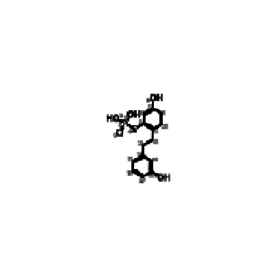 O=P(O)(O)Sc1cc(O)ccc1CCc1cccc(O)c1